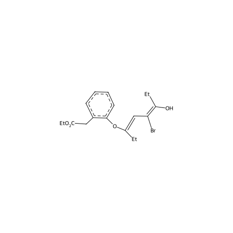 CCOC(=O)Cc1ccccc1OC(=C/C(Br)=C(/O)CC)CC